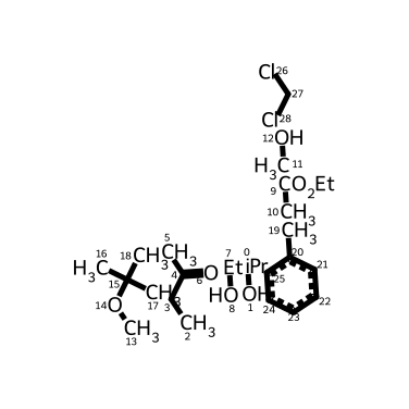 CC(C)O.CCC(C)=O.CCO.CCOC(C)=O.CO.COC(C)(C)C.Cc1ccccc1.ClCCl